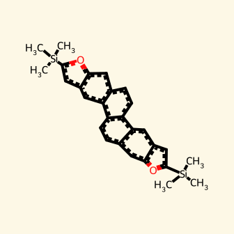 C[Si](C)(C)c1cc2cc3c(ccc4c5cc6cc([Si](C)(C)C)oc6cc5ccc34)cc2o1